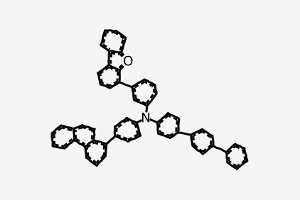 c1ccc(-c2ccc(-c3ccc(N(c4ccc(-c5cccc6c5ccc5ccccc56)cc4)c4cccc(-c5cccc6c5oc5ccccc56)c4)cc3)cc2)cc1